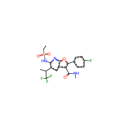 CCS(=O)(=O)Nc1nc2oc(-c3ccc(F)cc3)c(C(=O)NC)c2cc1C(C)C(F)(F)F